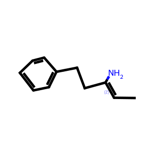 C/C=C(\N)CCc1ccccc1